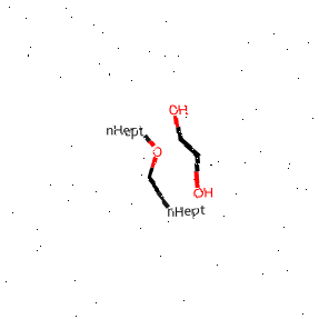 CCCCCCCCOCCCCCCC.OCCO